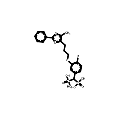 Cc1sc(-c2ccccc2)nc1CCCOc1cc(C(P(=O)(O)O)P(=O)(O)O)ccc1F